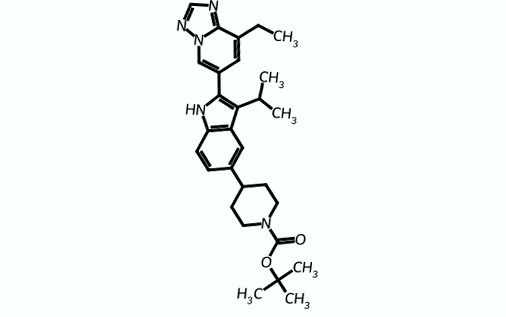 CCc1cc(-c2[nH]c3ccc(C4CCN(C(=O)OC(C)(C)C)CC4)cc3c2C(C)C)cn2ncnc12